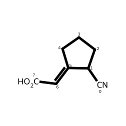 N#CC1CCCC1=CC(=O)O